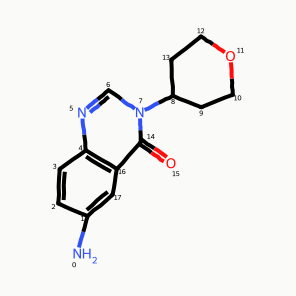 Nc1ccc2ncn(C3CCOCC3)c(=O)c2c1